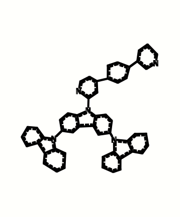 c1cncc(-c2ccc(-c3ccnc(-n4c5ccc(-n6c7ccccc7c7ccccc76)cc5c5cc(-n6c7ccccc7c7ccccc76)ccc54)c3)cc2)c1